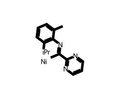 CC(=Nc1c(C)cccc1C(C)C)c1ncccn1.[Ni]